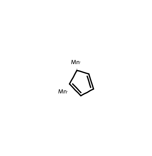 [CH]1C=CC=C1.[Mn].[Mn]